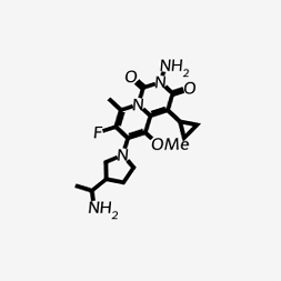 COc1c(N2CCC(C(C)N)C2)c(F)c(C)n2c(=O)n(N)c(=O)c(C3CC3)c12